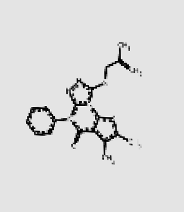 C=C(C)CSc1nnc2n(-c3ccccc3)c(=O)c3c(C)c(C)sc3n12